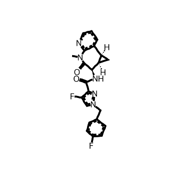 CN1C(=O)[C@H](NC(=O)c2nn(Cc3ccc(F)cc3)cc2F)[C@@H]2C[C@@H]2c2cccnc21